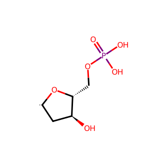 O=P(O)(O)OC[C@H]1O[CH]C[C@@H]1O